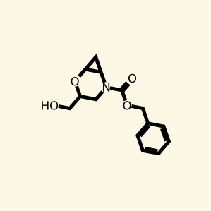 O=C(OCc1ccccc1)N1CC(CO)OC2CC21